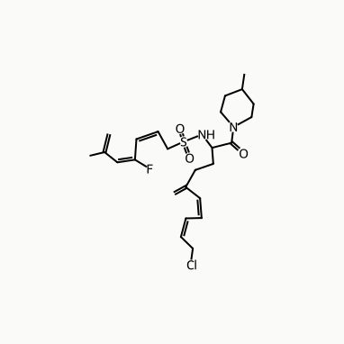 C=C(C)/C=C(F)\C=C/CS(=O)(=O)NC(CCC(=C)/C=C\C=C/CCl)C(=O)N1CCC(C)CC1